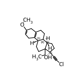 CCC12CC[C@@H]3C4=C(CC[C@H]3[C@@H]1CC[C@@]2(O)C#CCl)CC(OC)=CC4